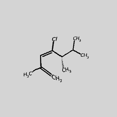 C=C(C)/C=C(/Cl)[C@@H](C)C(C)C